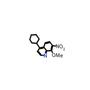 COc1c([N+](=O)[O-])ccc2c(C3CCCCC3)ccnc12